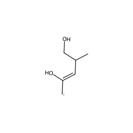 [CH]C(O)=CC(C)CO